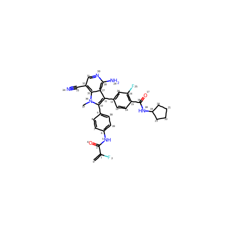 C=C(F)C(=O)Nc1ccc(-c2c(-c3ccc(C(=O)NC4CCCC4)c(F)c3)c3c(N)ncc(C#N)c3n2C)cc1